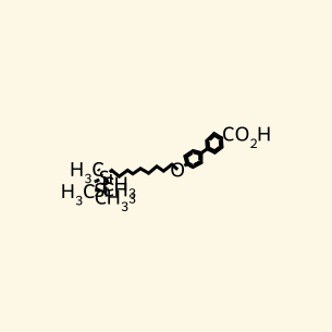 C[Si](C)(C)C[Si](C)(C)CCCCCCCCCOc1ccc(-c2ccc(C(=O)O)cc2)cc1